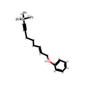 CC(C)[Si](C#CCCC/C=C/COc1ccccc1)(C(C)C)C(C)C